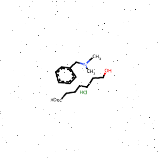 CCCCCCCCCCCCCCCCO.CN(C)Cc1ccccc1.Cl